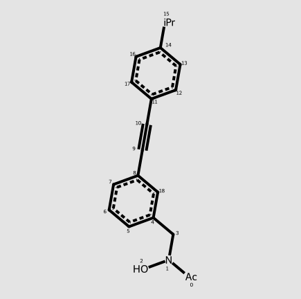 CC(=O)N(O)Cc1cccc(C#Cc2ccc(C(C)C)cc2)c1